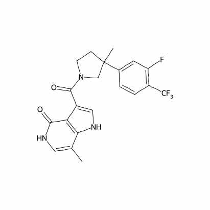 Cc1c[nH]c(=O)c2c(C(=O)N3CCC(C)(c4ccc(C(F)(F)F)c(F)c4)C3)c[nH]c12